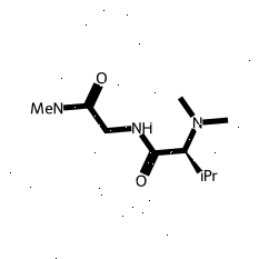 CNC(=O)CNC(=O)[C@H](C(C)C)N(C)C